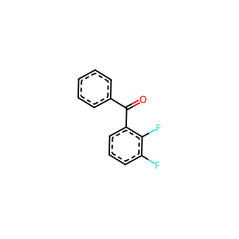 O=C(c1ccccc1)c1cccc(F)c1F